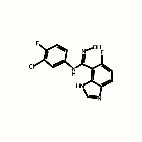 O/N=C(/Nc1ccc(F)c(Cl)c1)c1c(F)ccc2nc[nH]c12